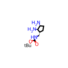 CC(C)(C)OC(=O)NC[C@H]1CC[C@@H](N)[C@@H]1N